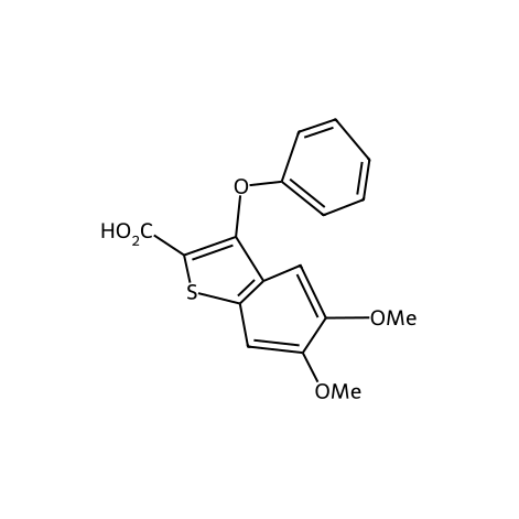 COc1cc2sc(C(=O)O)c(Oc3ccccc3)c2cc1OC